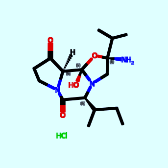 CCC(C)[C@H]1C(=O)N2CCC(=O)[C@H]2[C@]2(O)O[C@](N)(C(C)C)CN12.Cl